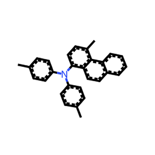 Cc1ccc(N(c2ccc(C)cc2)c2ccc(C)c3c2ccc2ccccc23)cc1